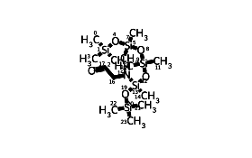 C[Si](C)(C)O[Si](C)(C)O[Si](C)(C)O[Si](C)(NCC=O)O[Si](C)(C)C